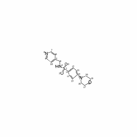 O=S(=O)(NCc1ccncc1)c1ccc(N2CCOCC2)cc1